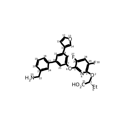 CC[C@@H](Oc1nc(Oc2cc(-c3ccoc3)cc(-c3cccc(CN)c3)c2)c(F)cc1F)C(=O)O